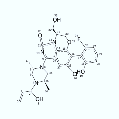 C=CC(O)N1C[C@H](C)N(c2nc(=O)n3c4c(c(-c5c(O)cccc5F)c(Cl)cc24)OC[C@@H]3CO)C[C@H]1C